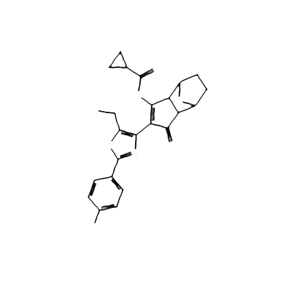 CCc1sc(-c2ccc(Cl)cc2)nc1C1=C(OC(=O)C2CC2)[C@H]2C3CCC(O3)[C@H]2C1=O